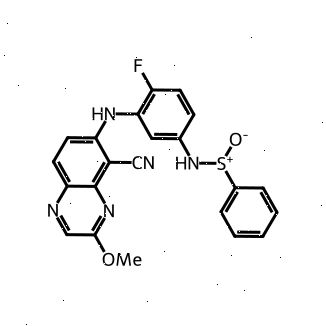 COc1cnc2ccc(Nc3cc(N[S+]([O-])c4ccccc4)ccc3F)c(C#N)c2n1